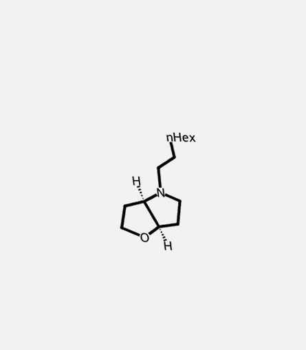 CCCCCCCCN1CC[C@H]2OCC[C@H]21